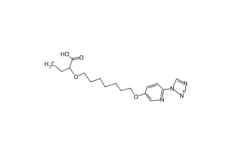 CCC(OCCCCCCCOc1ccc(-n2cncn2)nc1)C(=O)O